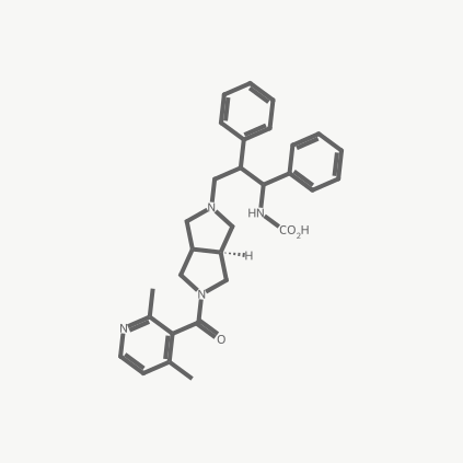 Cc1ccnc(C)c1C(=O)N1CC2CN(CC(c3ccccc3)C(NC(=O)O)c3ccccc3)C[C@H]2C1